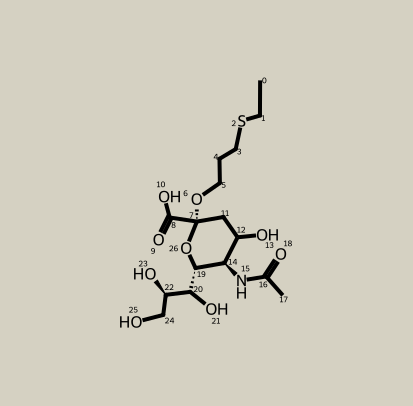 CCSCCCO[C@]1(C(=O)O)CC(O)[C@@H](NC(C)=O)[C@H](C(O)[C@H](O)CO)O1